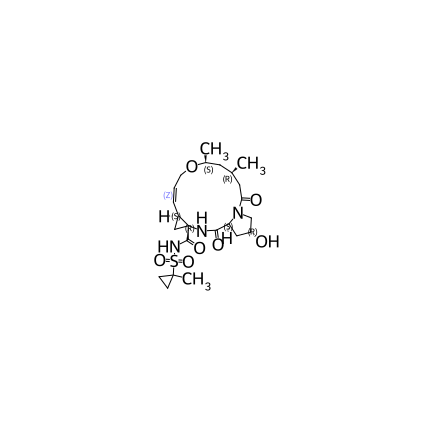 C[C@H]1CC(=O)N2C[C@H](O)C[C@H]2C(=O)N[C@]2(C(=O)NS(=O)(=O)C3(C)CC3)C[C@H]2/C=C\CO[C@@H](C)C1